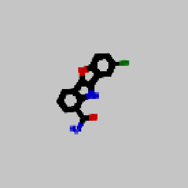 NC(=O)c1cccc2c1[nH]c1c3cc(Br)ccc3oc21